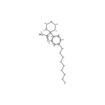 CCCCCCCCCc1ccc(C2(C(=O)O)CCCCO2)cc1